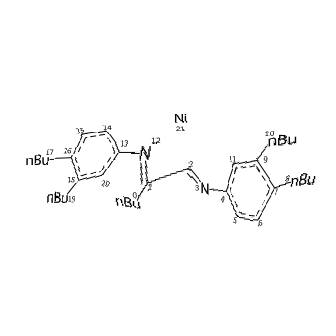 CCCCC(/C=N/c1ccc(CCCC)c(CCCC)c1)=N\c1ccc(CCCC)c(CCCC)c1.[Ni]